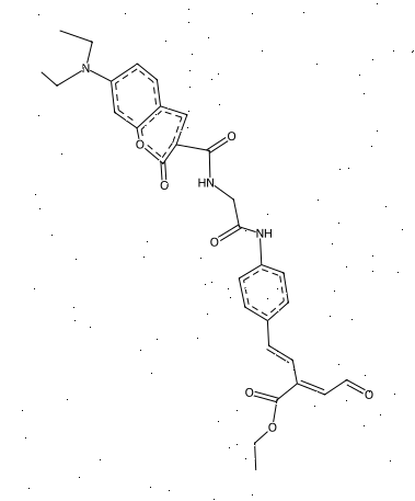 CCOC(=O)C(/C=C/c1ccc(NC(=O)CNC(=O)c2cc3ccc(N(CC)CC)cc3oc2=O)cc1)=C/C=O